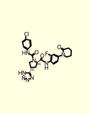 O=C(Nc1ccc(N2CCCCC2=O)cc1F)[C@H]1C[C@H](c2nnn[nH]2)CN1C(=O)Nc1ccc(Cl)cc1